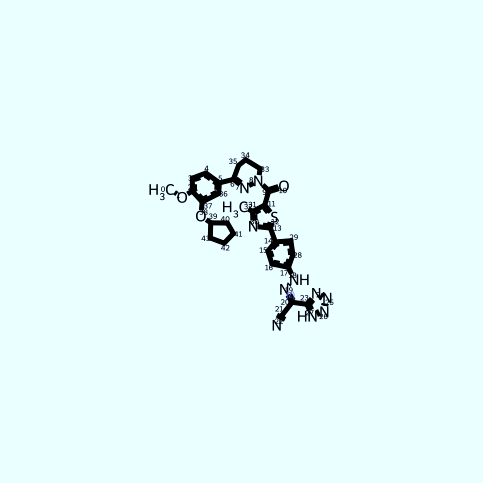 COc1ccc(C2=NN(C(=O)c3sc(-c4ccc(N/N=C(/C#N)c5nnn[nH]5)cc4)nc3C)CCC2)cc1OC1CCCC1